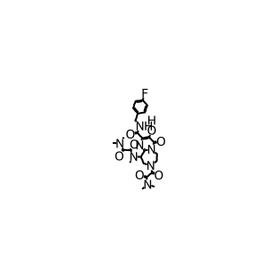 CN(C)C(=O)C(=O)N1CCn2c(nc(C(=O)NCc3ccc(F)cc3)c(O)c2=O)C(N(C)C(=O)C(=O)N(C)C)C1